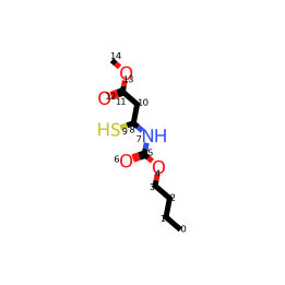 CCCCOC(=O)NC(S)CC(=O)OC